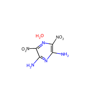 Nc1nc(N)c([N+](=O)[O-])nc1[N+](=O)[O-].O